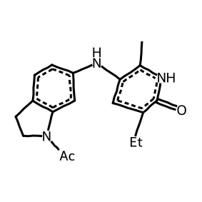 CCc1cc(Nc2ccc3c(c2)N(C(C)=O)CC3)c(C)[nH]c1=O